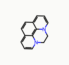 C1=CN2CCN3C=CC=c4ccc(c2c43)=C1